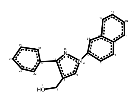 OCc1cn(-c2ccc3ccccc3c2)nc1-c1ccccc1